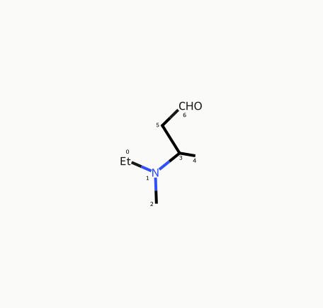 CCN(C)C(C)CC=O